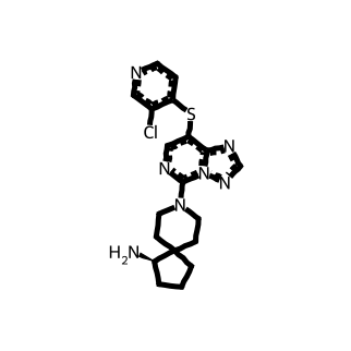 N[C@@H]1CCCC12CCN(c1ncc(Sc3ccncc3Cl)c3ncnn13)CC2